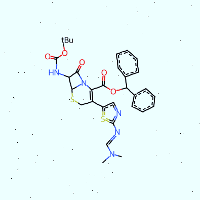 CN(C)C=Nc1ncc(C2=C(C(=O)OC(c3ccccc3)c3ccccc3)N3C(=O)C(NC(=O)OC(C)(C)C)C3SC2)s1